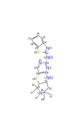 CN1C(C)(C)CC(Nc2nc(Nc3nc4ccccc4s3)ncc2F)CC1(C)C